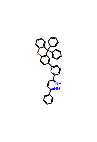 N=C(/C=C\C(=N)c1cccc(-c2ccc3c(c2)C(c2ccccc2)(C2C=CC=CC2)c2ccccc2S3)n1)c1ccccc1